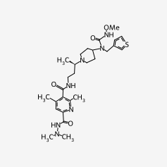 CONC(=O)N(Cc1ccsc1)C1CCN([C@H](C)CCNC(=O)c2c(C)cc(C(=O)NN(C)C)nc2C)CC1